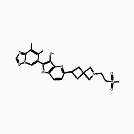 Cc1c(-c2[nH]c3ccc(C4CC5(C4)CN(CCS(C)(=O)=O)C5)nc3c2C(C)C)cn2ncnc2c1C